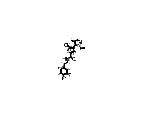 CCn1ncc(C)c1-c1cc(C(=O)NCCc2ccc(F)c(F)c2)sc1Cl